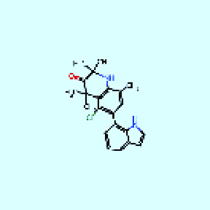 Cc1cc(-c2cccc3cc[nH]c23)c(Cl)c2c1NC(C)(C)C(=O)C2(C)C